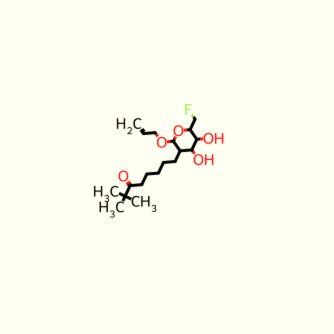 C=CCOC1OC(CF)C(O)C(O)C1CCCCCC(=O)C(C)(C)C